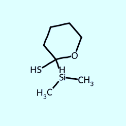 C[SiH](C)C1(S)CCCCO1